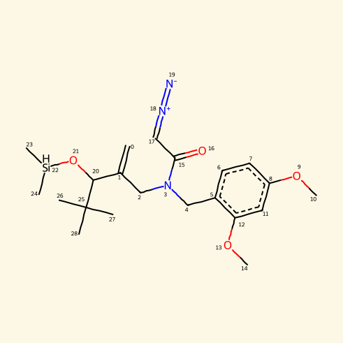 C=C(CN(Cc1ccc(OC)cc1OC)C(=O)C=[N+]=[N-])C(O[SiH](C)C)C(C)(C)C